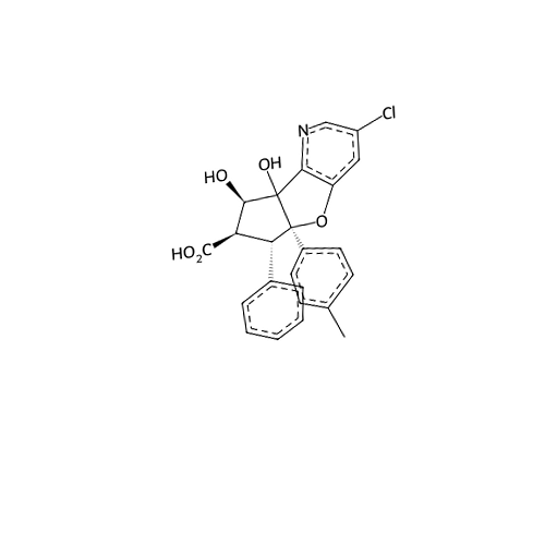 Cc1ccc([C@@]23Oc4cc(Cl)cnc4C2(O)[C@H](O)[C@H](C(=O)O)[C@H]3c2ccccc2)cc1